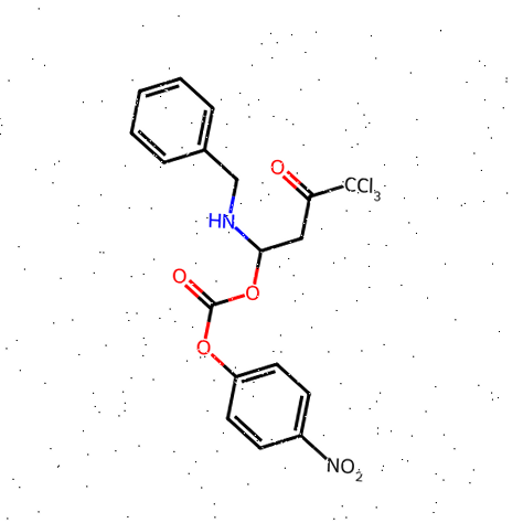 O=C(Oc1ccc([N+](=O)[O-])cc1)OC(CC(=O)C(Cl)(Cl)Cl)NCc1ccccc1